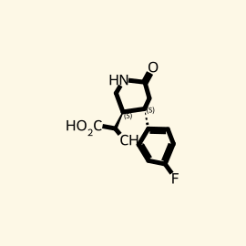 CC(C(=O)O)[C@H]1CNC(=O)C[C@@H]1c1ccc(F)cc1